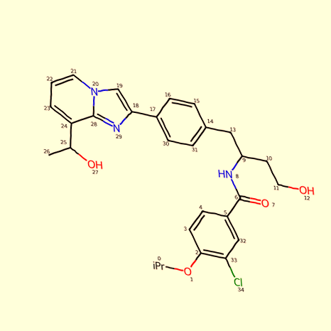 CC(C)Oc1ccc(C(=O)NC(CCO)Cc2ccc(-c3cn4cccc(C(C)O)c4n3)cc2)cc1Cl